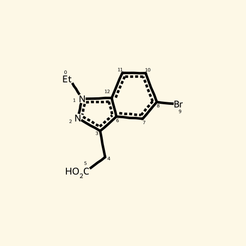 CCn1nc(CC(=O)O)c2cc(Br)ccc21